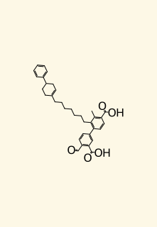 Cc1c(C(=O)O)ccc(-c2ccc(C=O)c(C(=O)O)c2)c1CCCCCCCC1=CCC(c2ccccc2)CC1